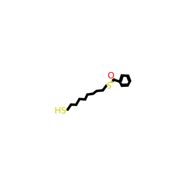 O=C(SCCCCCCCCCCS)c1ccccc1